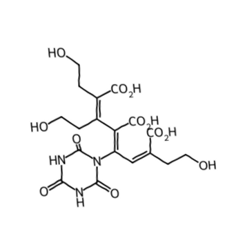 O=C(O)C(=CC(=C(C(=O)O)C(CCO)=C(CCO)C(=O)O)n1c(=O)[nH]c(=O)[nH]c1=O)CCO